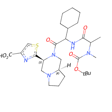 CC(C(=O)NC(C(=O)N1C[C@H]2CCCN2C[C@H]1c1nc(C(=O)O)cs1)C1CCCCC1)N(C)C(=O)OC(C)(C)C